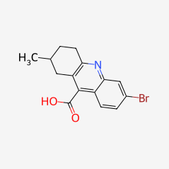 CC1CCc2nc3cc(Br)ccc3c(C(=O)O)c2C1